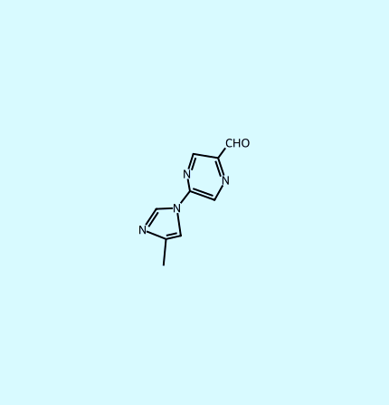 Cc1cn(-c2cnc(C=O)cn2)cn1